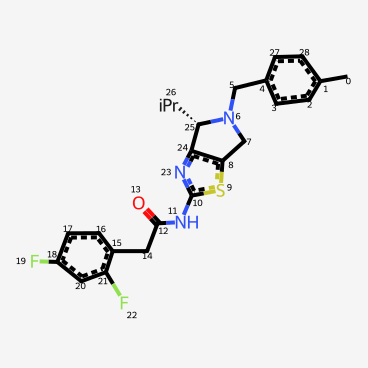 Cc1ccc(CN2Cc3sc(NC(=O)Cc4ccc(F)cc4F)nc3[C@@H]2C(C)C)cc1